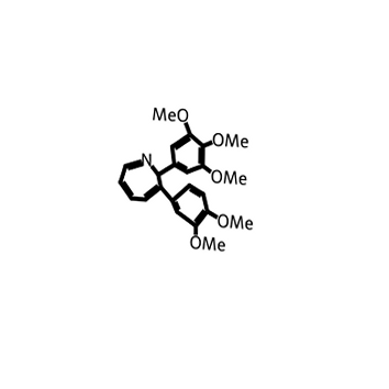 COc1ccc(C2=CC=CC=NC2c2cc(OC)c(OC)c(OC)c2)cc1OC